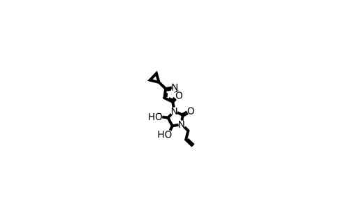 C=CCN1C(=O)N(c2cc(C3CC3)no2)C(O)C1O